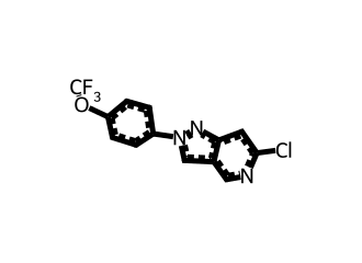 FC(F)(F)Oc1ccc(-n2cc3cnc(Cl)cc3n2)cc1